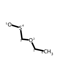 CCOCS[O]